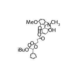 COc1ccc2c3c1O[C@H]1C(OC(=O)CCC(=O)O[C@H](C(=O)OCC(C)C)c4ccccc4)=CCC4(O)C(C2)N(C)CC[C@]314